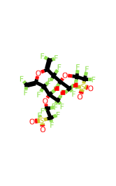 O=S(=O)(F)C(F)(F)C(F)(F)OC(F)(C(F)(F)F)C(F)(F)C(OC(=C(F)F)C(F)(F)C(F)(OC(F)(F)C(F)(F)S(=O)(=O)F)C(F)(F)F)=C(F)F